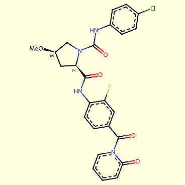 CO[C@@H]1C[C@H](C(=O)Nc2ccc(C(=O)n3ccccc3=O)cc2F)N(C(=O)Nc2ccc(Cl)cc2)C1